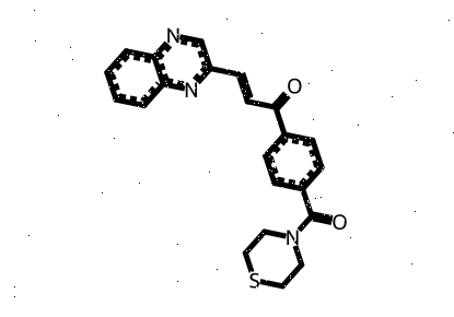 O=C(C=Cc1cnc2ccccc2n1)c1ccc(C(=O)N2CCSCC2)cc1